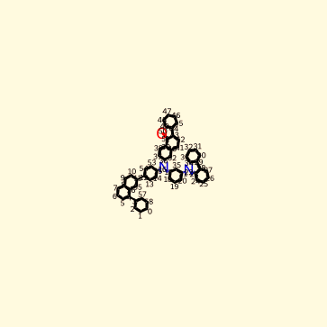 c1ccc(-c2cccc3ccc(-c4ccc(N(c5cccc(-n6c7ccccc7c7ccccc76)c5)c5ccc6c(ccc7c8ccccc8oc67)c5)cc4)cc23)cc1